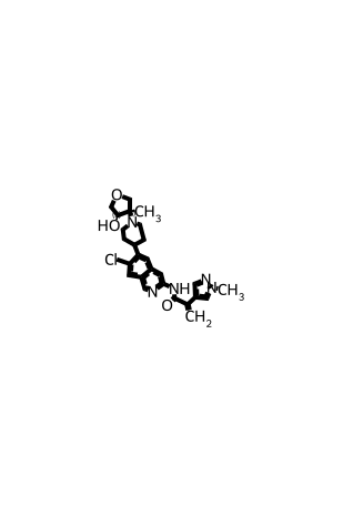 C=C(C(=O)Nc1cc2cc(C3CCN([C@@]4(C)COC[C@H]4O)CC3)c(Cl)cc2cn1)c1cnn(C)c1